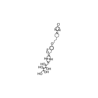 O=C(Cc1ccc(OCCCC2CCN(c3ncc(Cl)cn3)CC2)cc1F)N1C[C@H]2CN(C[C@H](O)[C@@H](O)[C@H](O)[C@H](O)CO)C[C@H]2C1